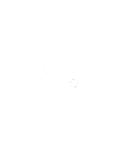 O=S(=O)(OC(F)(F)C(F)(F)C(F)(F)C(F)(F)C(F)(F)C(F)(F)F)c1ccccc1